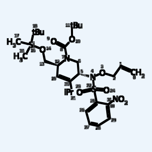 C=CCON([C@H]1CN(C(=O)OC(C)(C)C)[C@H](CO[Si](C)(C)C(C)(C)C)C=C1C(C)C)S(=O)(=O)c1ccccc1[N+](=O)[O-]